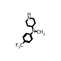 CN(c1ccc(C(F)(F)F)cc1)C1CCNCC1